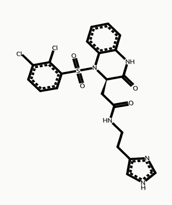 O=C(C[C@@H]1C(=O)Nc2ccccc2N1S(=O)(=O)c1cccc(Cl)c1Cl)NCCc1c[nH]cn1